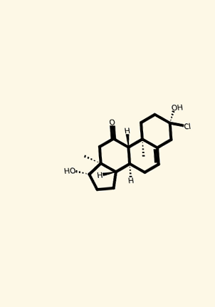 C[C@]12CC(=O)[C@H]3[C@@H](CC=C4C[C@](O)(Cl)CC[C@@]43C)[C@@H]1CC[C@@H]2O